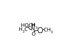 CC1CCC(C(=O)NCC(C)(C)O)CC1